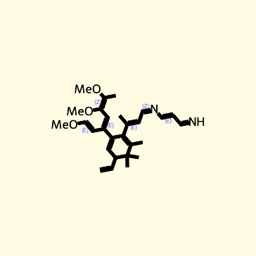 C=CC1C=C(C(/C=C/OC)=C/C(OC)=C(\C)OC)C(/C(C)=C/C=N\C=C\C=N)=C(C)C1(C)C